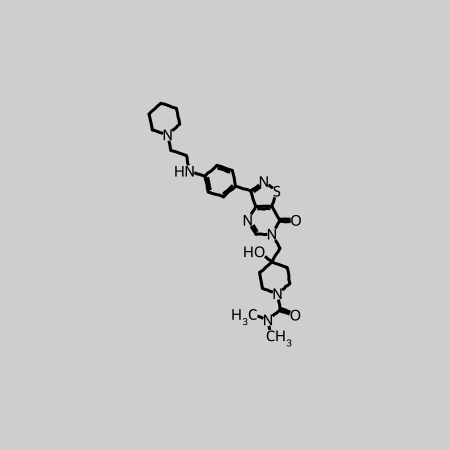 CN(C)C(=O)N1CCC(O)(Cn2cnc3c(-c4ccc(NCCN5CCCCC5)cc4)nsc3c2=O)CC1